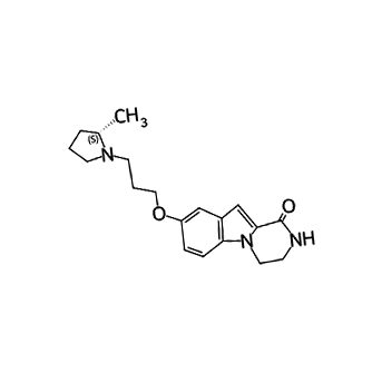 C[C@H]1CCCN1CCCOc1ccc2c(c1)cc1n2CCNC1=O